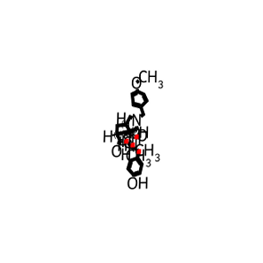 COc1ccc(CN2C[C@@H]3C[C@H]4C(=O)N[C@]3(C(=O)NCc3ccc(O)cc3)[C@@H]2[C@@H]4CC(C)C)cc1